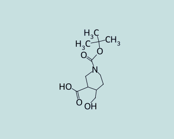 CC(C)(C)OC(=O)N1CCC(CO)C(C(=O)O)C1